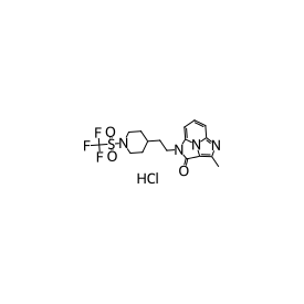 Cc1nc2cccc3n(CCC4CCN(S(=O)(=O)C(F)(F)F)CC4)c(=O)c1n23.Cl